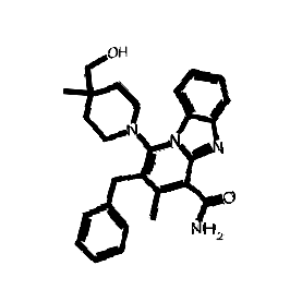 Cc1c(Cc2ccccc2)c(N2CCC(C)(CO)CC2)n2c(nc3ccccc32)c1C(N)=O